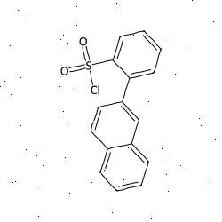 O=S(=O)(Cl)c1ccccc1-c1ccc2ccccc2c1